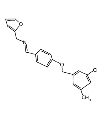 Cc1cc(C)cc(COc2ccc(C=NCc3ccco3)cc2)c1